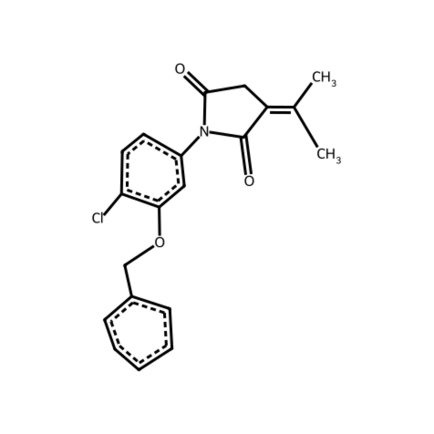 CC(C)=C1CC(=O)N(c2ccc(Cl)c(OCc3ccccc3)c2)C1=O